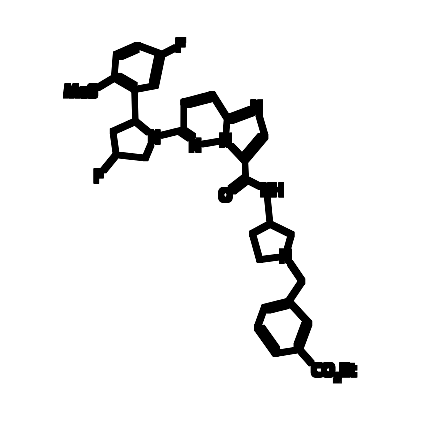 CCOC(=O)c1cccc(CN2CCC(NC(=O)c3cnc4ccc(N5CC(F)CC5c5cc(F)ccc5SC)nn34)C2)c1